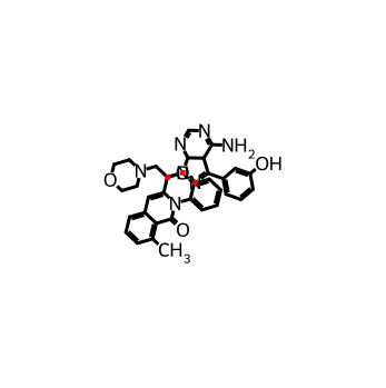 Cc1cccc2cc(CN3N=C(c4cccc(O)c4)C4C(N)=NC=NC43)n(-c3ccccc3OCCN3CCOCC3)c(=O)c12